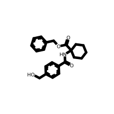 O=C(NC1(C(=O)OCc2ccccc2)CCCCC1)c1ccc(CO)cc1